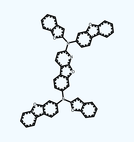 c1ccc2oc(N(c3ccc4c(c3)oc3ccccc34)c3ccc4c(c3)oc3nc(N(c5ccc6c(c5)oc5ccccc56)c5cc6ccccc6o5)ccc34)cc2c1